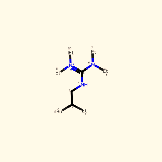 CCCCC(CC)CNC(N(CC)CC)=[N+](CC)CC